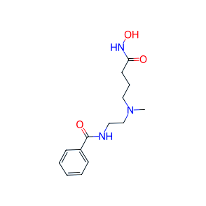 CN(CCCC(=O)NO)CCNC(=O)c1ccccc1